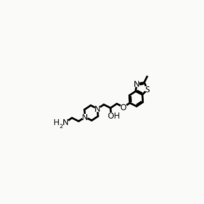 Cc1nc2cc(OCC(O)CN3CCN(CCN)CC3)ccc2s1